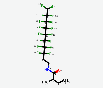 CCC(C)C(=O)NCCC(F)(F)C(F)(F)C(F)(F)C(F)(F)C(F)(F)C(F)(F)C(F)(F)C(F)F